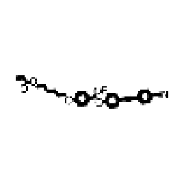 C=CC(=O)OCCCCCCOc1ccc(C(=O)Oc2ccc(C#Cc3ccc(C#N)cc3)cc2F)cc1